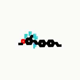 CCCc1ccc(-c2ccc(/C(F)=C(\F)c3ccc(OCC)c(F)c3C(F)F)cc2)cc1